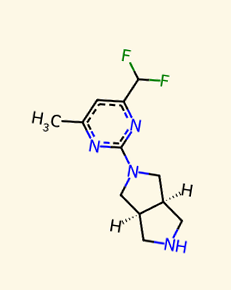 Cc1cc(C(F)F)nc(N2C[C@H]3CNC[C@H]3C2)n1